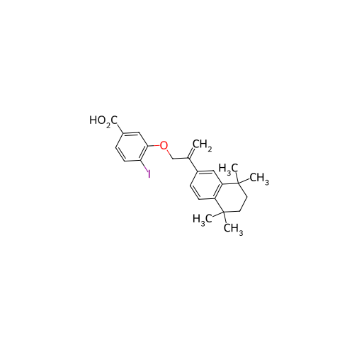 C=C(COc1cc(C(=O)O)ccc1I)c1ccc2c(c1)C(C)(C)CCC2(C)C